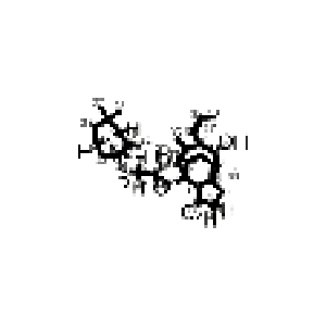 [2H]C1([2H])CC23CCC(C(C)C)C(C(C)C)(C2C1=O)[C@H](OC(=O)C([2H])([2H])S[C@H]1C[C@@H]2CC(C)(C)[C@H](C1C)N2CC)C(C)[C@@](C)(/C=C\C)[C@@H](O)[C@@H]3C